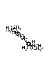 Cc1cc(COc2cnc(N3CCN(C(=O)OC(C)(C)C)CC3)nc2)ccc1C(=O)NC(C)C